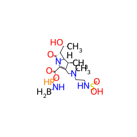 BNPOC(=O)C1=C(CN(C)CCNS(=O)O)[C@H](C)[C@@H]2[C@@H]([C@@H](C)O)C(=O)N12